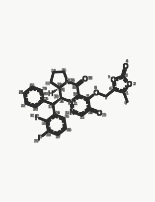 Cc1oc(=O)oc1COc1c2n(ncc1=O)[C@@H](C(c1ccccc1)c1cccc(F)c1F)[C@H]1CCCN1C2=O